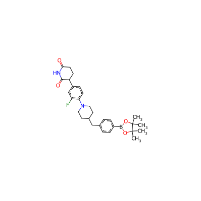 CC1(C)OB(c2ccc(CC3CCN(c4ccc(C5CCC(=O)NC5=O)cc4F)CC3)cc2)OC1(C)C